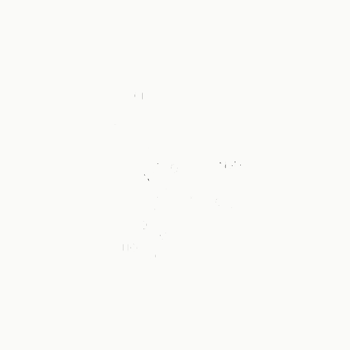 C=Cc1cc(OS(=O)(=O)O)cc2nc(-c3ccc(O)c(F)c3)oc12.[NaH]